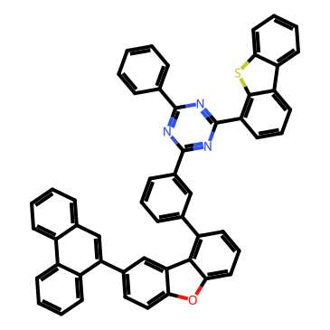 c1ccc(-c2nc(-c3cccc(-c4cccc5oc6ccc(-c7cc8ccccc8c8ccccc78)cc6c45)c3)nc(-c3cccc4c3sc3ccccc34)n2)cc1